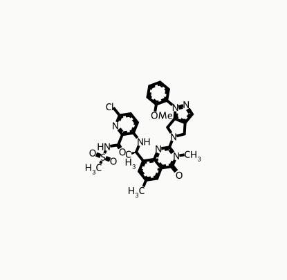 COc1ccccc1-n1ncc2c1CN(c1nc3c([C@@H](C)Nc4ccc(Cl)nc4C(=O)NS(C)(=O)=O)cc(C)cc3c(=O)n1C)C2